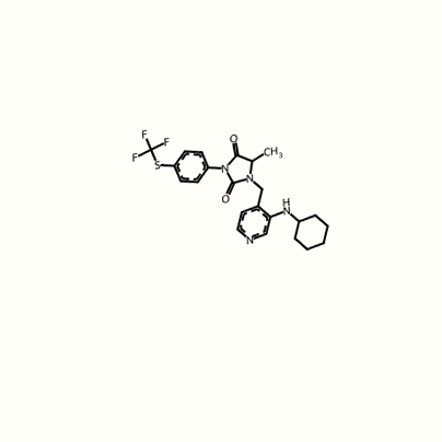 CC1C(=O)N(c2ccc(SC(F)(F)F)cc2)C(=O)N1Cc1ccncc1NC1CCCCC1